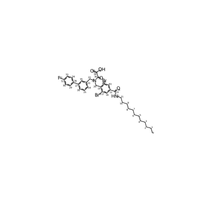 CCCCCCCCCCCCNC(=O)c1cc(Br)c(CN(Cc2cccc(-c3ccc(F)cc3)c2)C(=O)C(=O)O)c(Br)c1